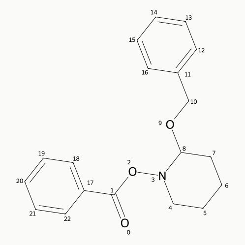 O=C(ON1CCCCC1OCc1ccccc1)c1ccccc1